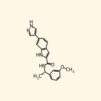 COc1cccc([C@@H](C)NC(=O)c2cc3ccc(-c4cn[nH]c4)cc3[nH]2)c1